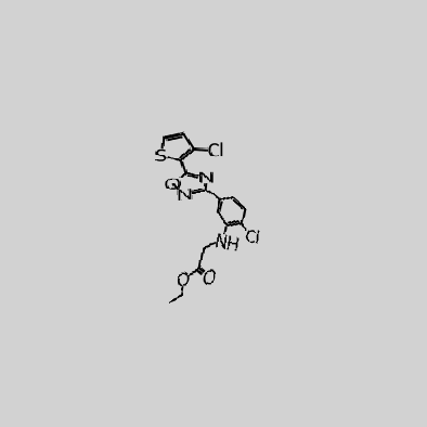 CCOC(=O)CNc1cc(-c2noc(-c3sccc3Cl)n2)ccc1Cl